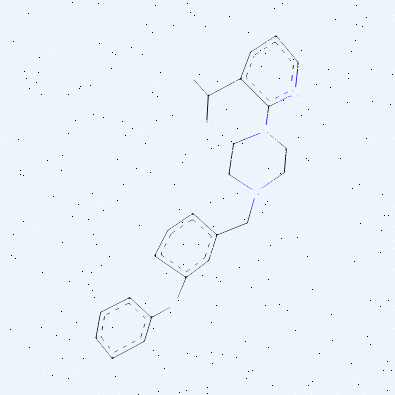 CC(C)c1cccnc1N1CCN(Cc2cccc(Sc3ccccc3)c2)CC1